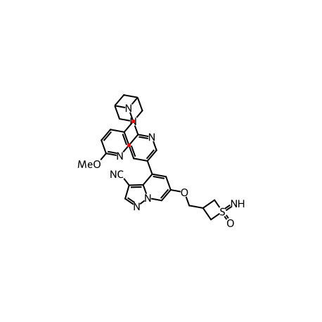 COc1ccc(CN2C3CC2CN(c2ccc(-c4cc(OCC5CS(=N)(=O)C5)cn5ncc(C#N)c45)cn2)C3)cn1